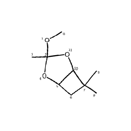 COC1(C)OC2CC(C)(C)C2O1